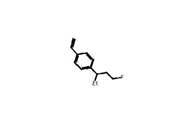 C=Cc1ccc(C(CC)CCF)cc1